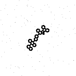 c1ccc2c(-c3c4ccccc4c(-c4ccc5cc(-c6cc7sc8c9ccccc9c9ccccc9c8c7c7ccccc67)ccc5c4)c4ccccc34)cccc2c1